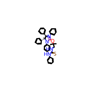 CC(C)(CNC(=S)Nc1ccccc1)OP1N(c2ccccc2)[C@H](c2ccccc2)[C@@H](c2ccccc2)N1c1ccccc1